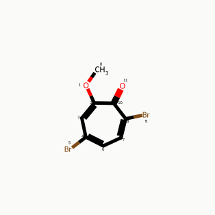 COc1cc(Br)ccc(Br)c1=O